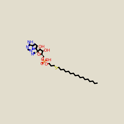 CCCCCCCCCCCCCCCCCSCCCOP(=O)(O)OC[C@H]1O[C@@](C#N)(c2ccc3c(N)ncnn23)[C@H](O)[C@@H]1O